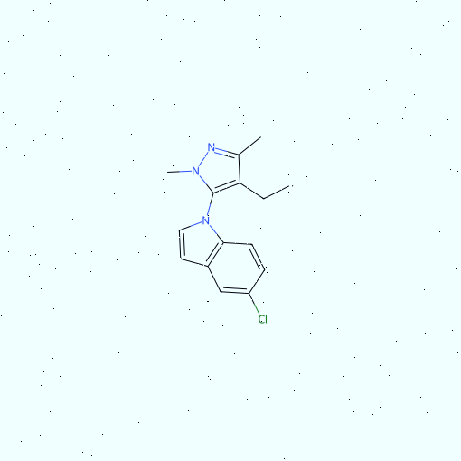 [CH2]Cc1c(C)nn(C)c1-n1ccc2cc(Cl)ccc21